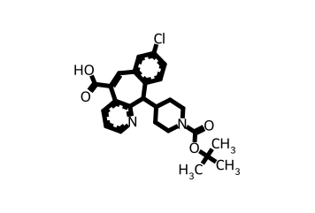 CC(C)(C)OC(=O)N1CCC(C2c3ccc(Cl)cc3C=C(C(=O)O)c3cccnc32)CC1